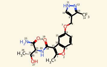 Cc1oc2ccc(OCc3c[nH]nc3C(F)(F)F)cc2c1C(=O)N[C@H](C(N)=O)[C@@H](C)O